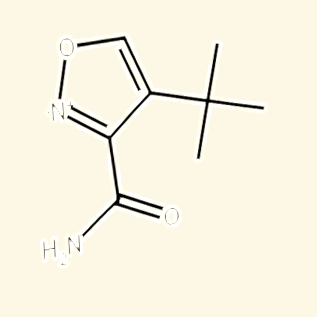 CC(C)(C)C1=CO[N+]=C1C(N)=O